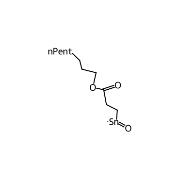 CCCCCCCCOC(=O)C[CH2][Sn]=[O]